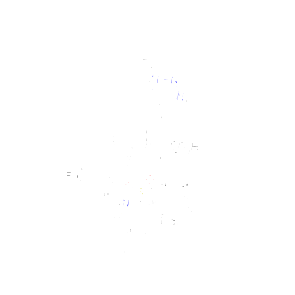 CCn1cc(CCC(CC(=O)O)c2ccc(C(F)(F)F)c(CN3CC(C)Cc4ccccc4S3(=O)=O)c2)nn1